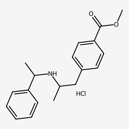 COC(=O)c1ccc(CC(C)NC(C)c2ccccc2)cc1.Cl